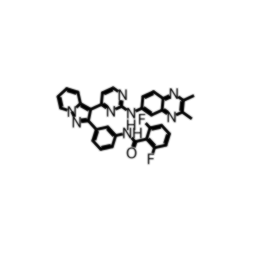 Cc1nc2ccc(Nc3nccc(-c4c(-c5cccc(NC(=O)c6c(F)cccc6F)c5)nn5ccccc45)n3)cc2nc1C